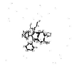 CCN(CC)c1c(-c2nnn[nH]2)n(-c2ccccc2)c2cc(Br)c(Cl)cc12